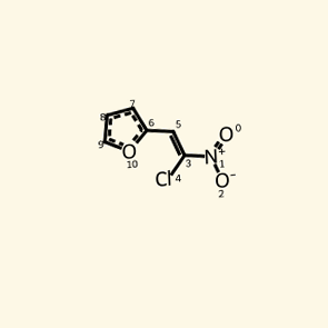 O=[N+]([O-])C(Cl)=Cc1ccco1